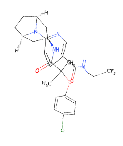 CC(C)(Oc1ccc(Cl)cc1)C(=O)N[C@H]1C[C@H]2CC[C@@H](C1)N2c1ccc(C(=O)NCC(F)(F)F)cn1